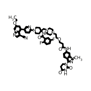 CCOc1cc(-c2ccc(N3CCC(CN4CCN(CCOCCC(=O)Nc5ccc6c(N7CCC(=O)NC7=O)nn(C)c6c5)CC4)(NC(=O)c4cc(F)ccc4F)CC3)nc2)c2c(C#N)cnn2c1